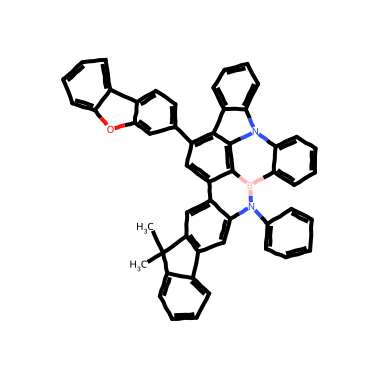 CC1(C)c2ccccc2-c2cc3c(cc21)-c1cc(-c2ccc4c(c2)oc2ccccc24)c2c4ccccc4n4c2c1B(c1ccccc1-4)N3c1ccccc1